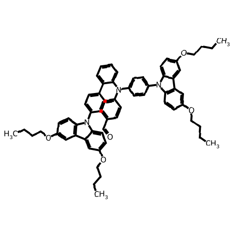 CCCCOc1ccc2c(c1)c1cc(OCCCC)ccc1n2-c1ccc(-c2ccccc2N(c2ccc(C=O)cc2)c2ccc(-n3c4ccc(OCCCC)cc4c4cc(OCCCC)ccc43)cc2)cc1